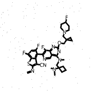 C=Nc1sc2c(F)cc(F)c(-c3ncc4c(N(C)CC5(N(C)C)CCC5)nc(OCC5(CN6CCC(F)CC6)CC5)nc4c3F)c2c1C#N